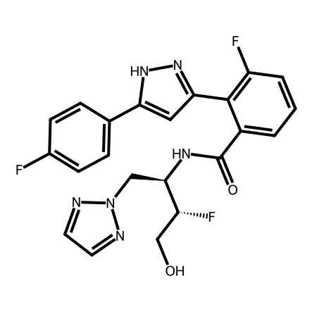 O=C(N[C@H](Cn1nccn1)[C@H](F)CO)c1cccc(F)c1-c1cc(-c2ccc(F)cc2)[nH]n1